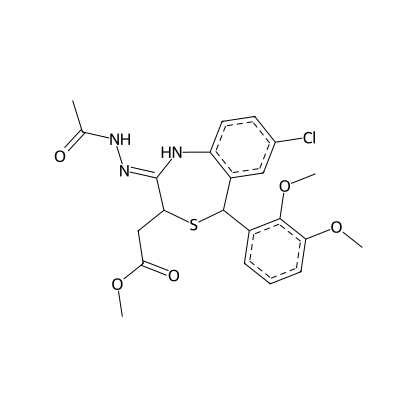 COC(=O)CC1SC(c2cccc(OC)c2OC)c2cc(Cl)ccc2NC1=NNC(C)=O